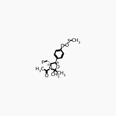 CSOOc1ccc([C@H]2OC(C)(C)N(C(C)=O)[C@@H]2CF)cc1